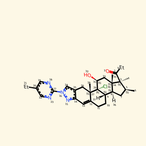 CCC(=O)[C@@]1(C)[C@@H](C)C[C@H]2[C@@H]3CCC4=Cc5nn(-c6ncc(CC)cn6)cc5C[C@]4(C)[C@@]3(Cl)[C@@H](O)C[C@@]21C